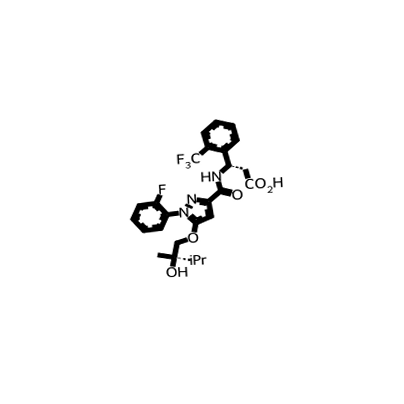 CC(C)[C@@](C)(O)COc1cc(C(=O)N[C@@H](CC(=O)O)c2ccccc2C(F)(F)F)nn1-c1ccccc1F